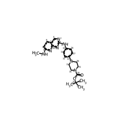 CNc1ccc2cnc(Nc3ccc(N4CCN(C(=O)OC(C)(C)C)CC4)cc3)nc2n1